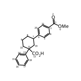 COC(=O)c1ccc(C2CCCC(C(=O)O)(c3ccccc3)C2)cc1